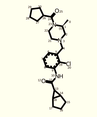 C[C@H]1CN(Cc2cccc(NC(=O)C3C4CCCC43)c2Cl)CCN1C(=O)C1CCCC1